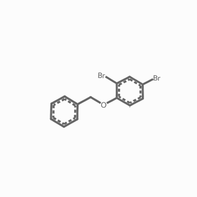 Brc1c[c]c(OCc2ccccc2)c(Br)c1